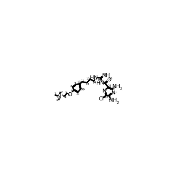 C[N+](C)(C)CCOc1ccc(CCCCNC(=N)NC(=O)c2nc(Cl)c(N)nc2N)cc1